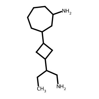 CCC(CN)C1CC(C2CCCCC(N)C2)C1